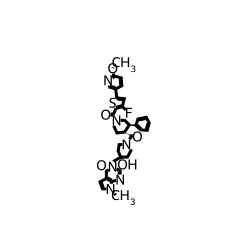 COc1ccc(-c2cc(F)c(C(=O)N3CC[C@@H](C(=O)N4CCC(O)(Cn5cnc6c(ccn6C)c5=O)CC4)[C@H](c4ccccc4)C3)s2)cn1